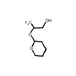 OCC(OC1CCCCO1)C(F)(F)F